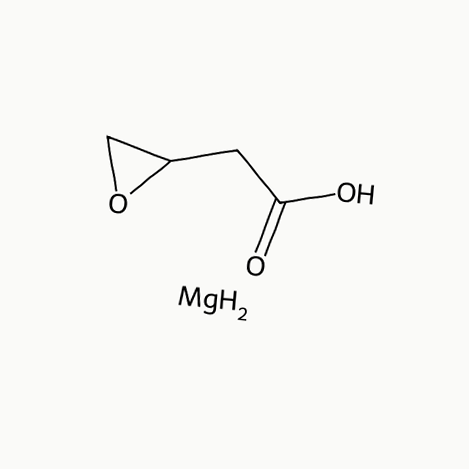 O=C(O)CC1CO1.[MgH2]